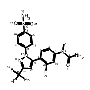 CN(C(N)=O)c1ccc(-c2cc(C(F)(F)F)nn2-c2ccc(S(N)(=O)=O)cc2)c(F)c1